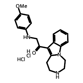 COc1ccc(NCC(=O)c2c3n(c4ccccc24)CCNCC3)cc1.Cl.Cl